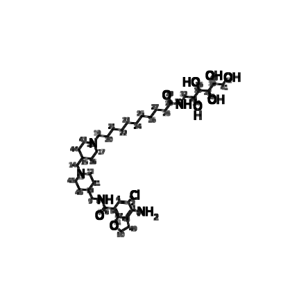 Nc1c(Cl)cc(C(=O)NCC2CCN(CC3CCN(CCCCCCCCCCC(=O)NC[C@H](O)[C@@H](O)[C@H](O)[C@H](O)CO)CC3)CC2)c2c1CCO2